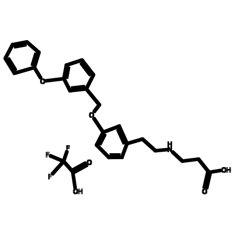 O=C(O)C(F)(F)F.O=C(O)CCNCCc1cccc(OCc2cccc(Oc3ccccc3)c2)c1